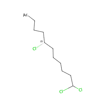 CC(=O)CCC[C@@H](Cl)CCCCCC(Cl)Cl